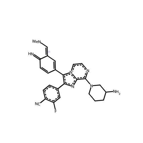 CN/C=C1/C=C(c2c(-c3ccc(C#N)c(F)c3)nc3c(N4CCCC(N)C4)nccn23)C=CC1=N